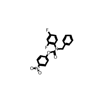 O=C(Oc1ccc([N+](=O)[O-])cc1)N(Cc1ccccc1)c1ccc(F)cc1F